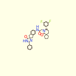 O=C(CN1C(=O)C2(CCCC2)CC[C@H]1c1cc(F)cc(F)c1)Nc1ccc2c(c1)CC1(C2)N=C(c2ccccc2)NC1=O